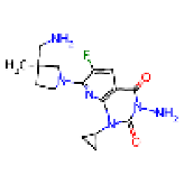 CC1(CN)CCN(c2nc3c(cc2F)c(=O)n(N)c(=O)n3C2CC2)C1